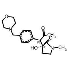 CC(=O)[C@H](c1ccc([CH]N2CCOCC2)cc1)[C@]1(O)CCN(C)C1=O